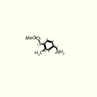 COOSc1ccc(CN)cc1C